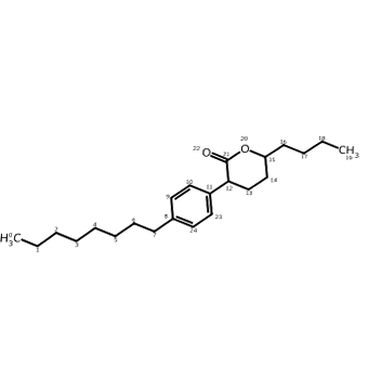 CCCCCCCCc1ccc(C2CCC(CCCC)OC2=O)cc1